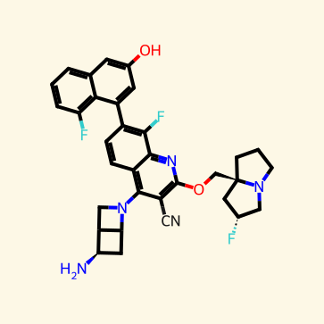 N#Cc1c(OC[C@@]23CCCN2C[C@H](F)C3)nc2c(F)c(-c3cc(O)cc4cccc(F)c34)ccc2c1N1CC2C1C[C@H]2N